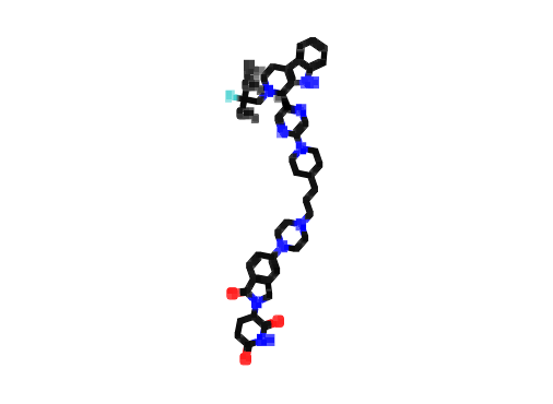 C[C@@H]1Cc2c([nH]c3ccccc23)[C@@H](c2cnc(N3CCC(CCCN4CCN(c5ccc6c(c5)CN(C5CCC(=O)NC5=O)C6=O)CC4)CC3)cn2)N1CC(C)(C)F